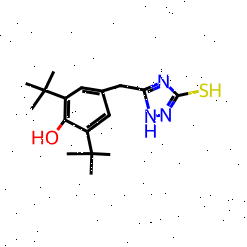 CC(C)(C)c1cc(Cc2nc(S)n[nH]2)cc(C(C)(C)C)c1O